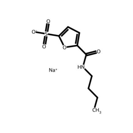 CCCCNC(=O)c1ccc(S(=O)(=O)[O-])o1.[Na+]